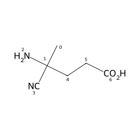 CC(N)(C#N)CCC(=O)O